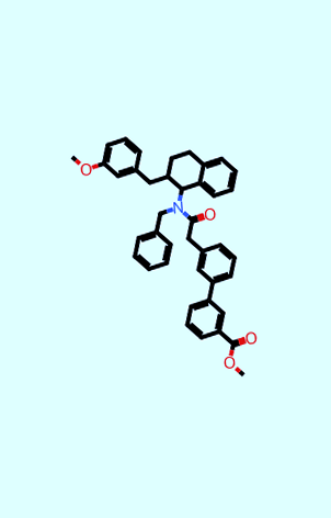 COC(=O)c1cccc(-c2cccc(CC(=O)N(Cc3ccccc3)C3c4ccccc4CCC3Cc3cccc(OC)c3)c2)c1